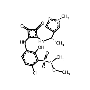 CON(C)S(=O)(=O)c1c(Cl)ccc(Nc2c(N[C@@H](C)c3cnn(C)c3)c(=O)c2=O)c1O